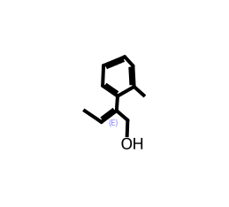 C/C=C(/CO)c1ccccc1C